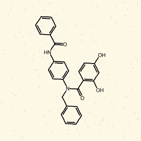 O=C(Nc1ccc(N(Cc2ccccc2)C(=O)c2ccc(O)cc2O)cc1)c1ccccc1